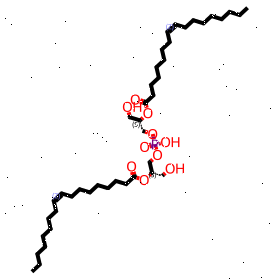 CCCCCCCC/C=C\CCCCCCCC(=O)O[C@@H](CO)COP(=O)(O)OC[C@H](CO)OC(=O)CCCCCCC/C=C\CCCCCCCC